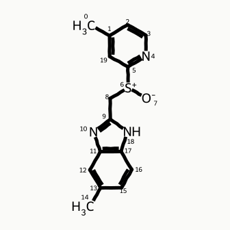 Cc1ccnc([S+]([O-])Cc2nc3cc(C)ccc3[nH]2)c1